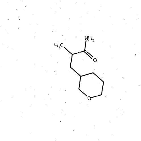 CC(CC1CCCOC1)C(N)=O